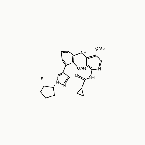 COc1cnc(NC(=O)C2CC2)cc1Nc1cccc(-c2cnn([C@@H]3CCC[C@@H]3F)c2)c1OC